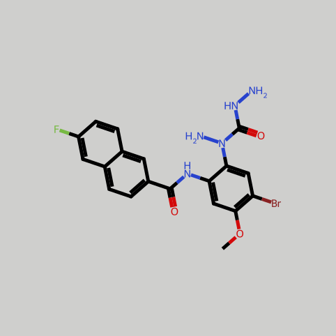 COc1cc(NC(=O)c2ccc3cc(F)ccc3c2)c(N(N)C(=O)NN)cc1Br